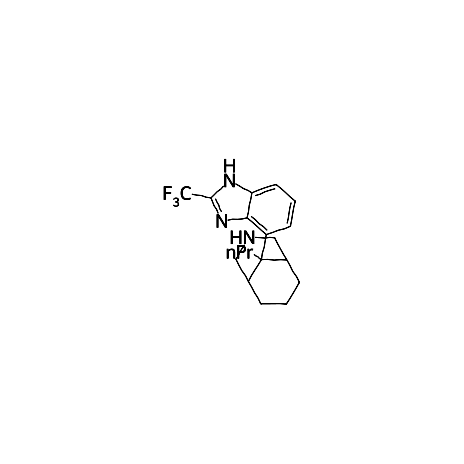 CCCC1(c2cccc3[nH]c(C(F)(F)F)nc23)C2CCCC1CNC2